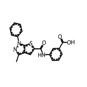 Cc1nn(-c2ccccc2)c2sc(C(=O)Nc3cccc(C(=O)O)c3)cc12